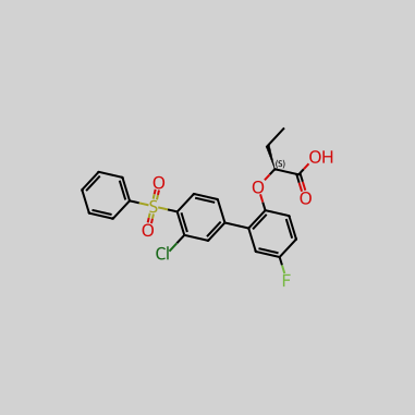 CC[C@H](Oc1ccc(F)cc1-c1ccc(S(=O)(=O)c2ccccc2)c(Cl)c1)C(=O)O